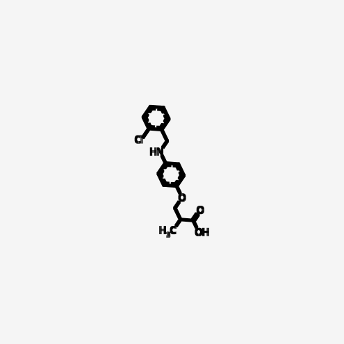 CC(COc1ccc(NCc2ccccc2Cl)cc1)C(=O)O